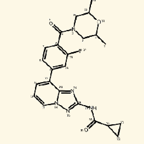 CC1CN(C(=O)c2ccc(-c3cccn4nc(NC(=O)C5CC5)nc34)cc2F)CC(C)O1